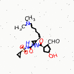 CN(C)CCCC/C=C\[C@@H]1C[C@]1(NC(=O)[C@@H]1C[C@@H](O)C[C@H]1C=O)C(=O)NS(=O)(=O)C1CC1